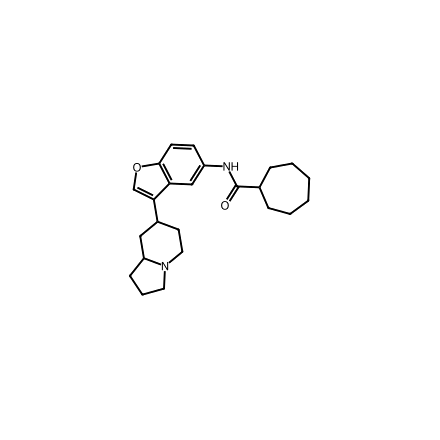 O=C(Nc1ccc2occ(C3CCN4CCCC4C3)c2c1)C1CCCCCC1